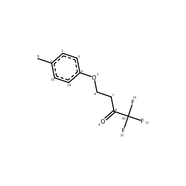 Cc1ccc(OCCC(=O)C(F)(F)F)cc1